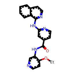 CCOc1ccncc1NC(=O)c1ccnc(Nc2nccc3ccccc23)c1